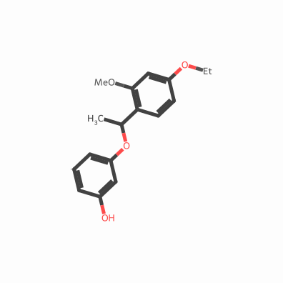 CCOc1ccc(C(C)Oc2c[c]cc(O)c2)c(OC)c1